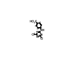 O=C(O)c1ccc(Nc2nc(Cl)nc(Cl)n2)cc1